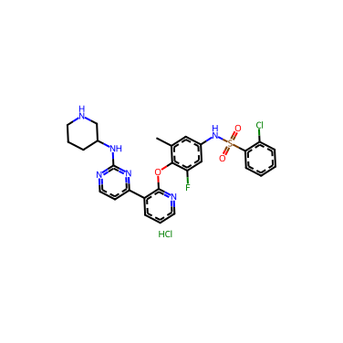 Cc1cc(NS(=O)(=O)c2ccccc2Cl)cc(F)c1Oc1ncccc1-c1ccnc(NC2CCCNC2)n1.Cl